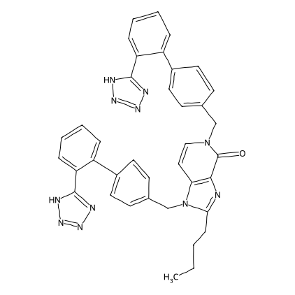 CCCCc1nc2c(=O)n(Cc3ccc(-c4ccccc4-c4nnn[nH]4)cc3)ccc2n1Cc1ccc(-c2ccccc2-c2nnn[nH]2)cc1